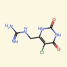 N=C(N)NCc1[nH]c(=O)[nH]c(=O)c1Cl